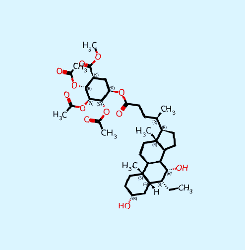 CC[C@H]1[C@@H](O)C2C3CC[C@H]([C@H](C)CCC(=O)O[C@@H]4C[C@H](C(=O)OC)[C@@H](OC(C)=O)[C@H](OC(C)=O)[C@H]4OC(C)=O)[C@@]3(C)CCC2[C@@]2(C)CC[C@@H](O)C[C@@H]12